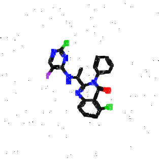 CC(Nc1nc(Cl)ncc1I)c1nc2cccc(Cl)c2c(=O)n1-c1ccccc1